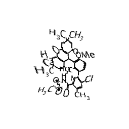 COc1ccc(-c2nc(C(=O)NS(C)(=O)=O)c(C)cc2Cl)c(C)c1C1C2=C(CC(C)(C)CC2=O)OC2=C1C(=O)CC(C)(C)C2